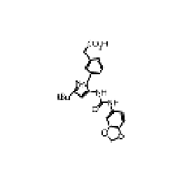 CC(C)(C)c1cc(NC(=O)Nc2ccc3c(c2)OCO3)n(-c2cccc(CC(=O)O)c2)n1